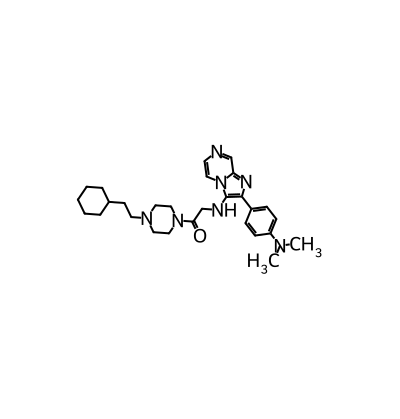 CN(C)c1ccc(-c2nc3cnccn3c2NCC(=O)N2CCN(CCC3CCCCC3)CC2)cc1